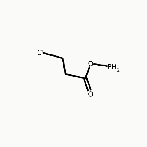 O=C(CCCl)OP